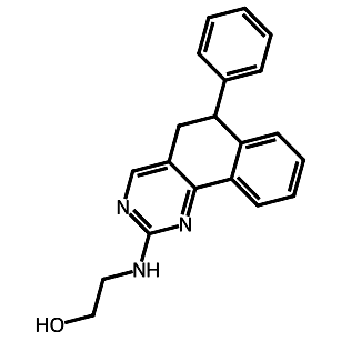 OCCNc1ncc2c(n1)-c1ccccc1C(c1ccccc1)C2